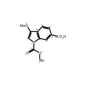 COc1cn(C(=O)OC(C)(C)C)c2cc(C(=O)O)ccc12